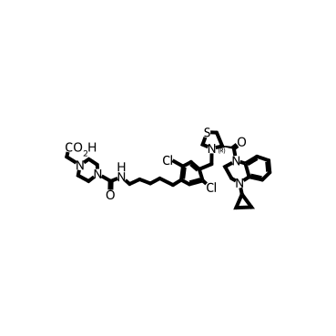 O=C(O)CN1CCN(C(=O)NCCCCCc2cc(Cl)c(CN3CSC[C@H]3C(=O)N3CCN(C4CC4)c4ccccc43)cc2Cl)CC1